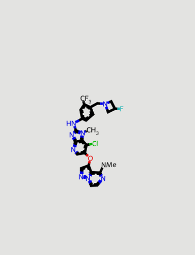 CNc1nccn2ncc(Oc3cnc4nc(Nc5ccc(CN6CC(F)C6)c(C(F)(F)F)c5)n(C)c4c3Cl)c12